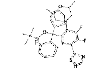 CC1CN(c2c(C(O[SiH2]C(C)(C)C)(c3ccccc3)c3ccccc3)cc(-c3ncns3)c(F)c2F)CC(C)O1